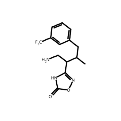 CC(Cc1cccc(C(F)(F)F)c1)C(CN)c1noc(=O)[nH]1